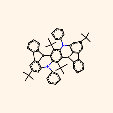 CC(C)(C)c1cc2c3c(c1)N(c1ccccc1)c1c(c(C(C)(C)C)c4c(c1C(C)(C)C)B1c5ccccc5-c5cc(C(C)(C)C)cc(c51)N4c1ccccc1)B3c1ccccc1-2